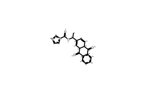 CC(OC(=O)n1ccnc1)C1=CC2C(=O)c3ccccc3C(=O)C2C=C1